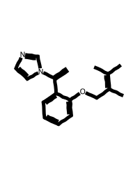 C=C(c1ccccc1OCC(C)=C(C)C)n1ccnc1